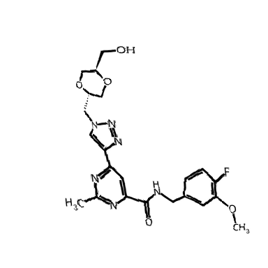 COc1cc(CNC(=O)c2cc(-c3cn(C[C@H]4CO[C@H](CO)CO4)nn3)nc(C)n2)ccc1F